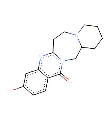 O=c1c2ccc(Br)cc2nc2n1CC1CCCCN1CC2